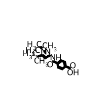 CC(C)c1cc(NC(=O)c2ccc(C(=O)O)cc2)nn1C(C)(C)C